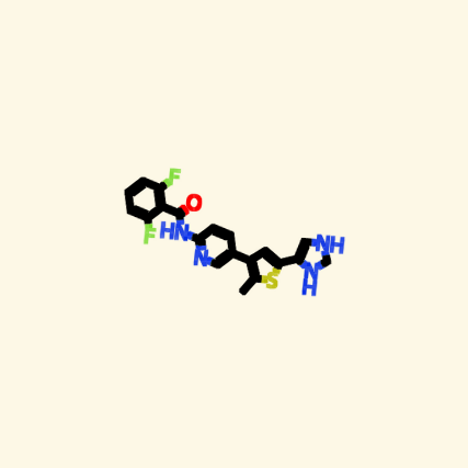 Cc1sc(C2=CNCN2)cc1-c1ccc(NC(=O)c2c(F)cccc2F)nc1